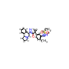 Cc1ccc(C2(C(=O)NC(CN3CCCC3)c3ccccc3)CC2)cc1NS(C)(=O)=O